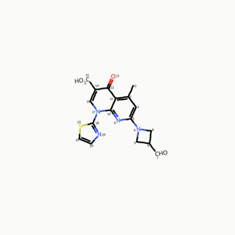 Cc1cc(N2CC(C=O)C2)nc2c1c(=O)c(C(=O)O)cn2-c1nccs1